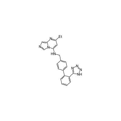 CCc1cc(NCc2ccc(-c3ccccc3-c3nnn[nH]3)cc2)n2cncc2n1